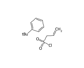 C=CCS(=O)(=O)Cl.CC(C)(C)c1ccccc1